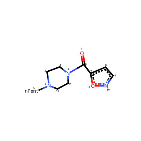 CCCCCN1CCN(C(=O)c2ccno2)CC1